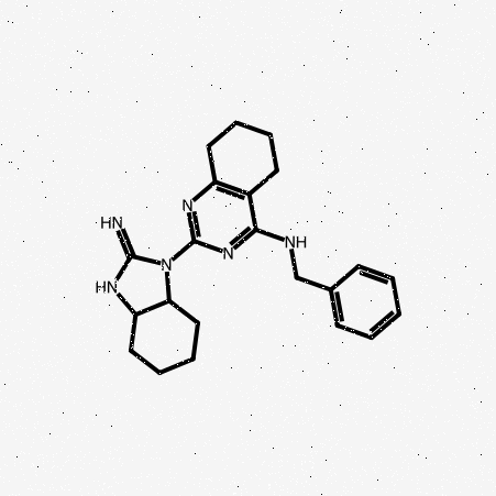 N=C1NC2CCCCC2N1c1nc2c(c(NCc3ccccc3)n1)CCCC2